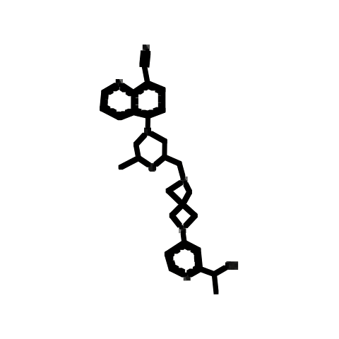 CC1CN(c2ccc(C#N)c3ncccc23)CC(CN2CC3(C2)CN(c2ccnc(C(C)O)c2)C3)O1